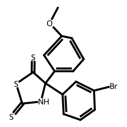 COc1cccc(C2(c3cccc(Br)c3)NC(=S)SC2=S)c1